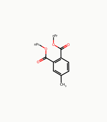 CCCOC(=O)c1ccc(C)cc1C(=O)OCCC